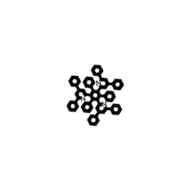 c1ccc(-c2cc(-c3ccccc3)nc(-c3c(-c4ccccc4)c(-c4cc(-c5ccccc5)cc(-c5ccccc5)n4)c(-c4ccccc4)c(-c4cc(-c5ccccc5)cc(-c5ccccc5)n4)c3-c3ccccc3)c2)cc1